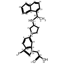 C[C@@H](NC1CCN(c2ccc3c(F)cn(CC(=O)O)c3c2)C1)c1cccc2ccccc12